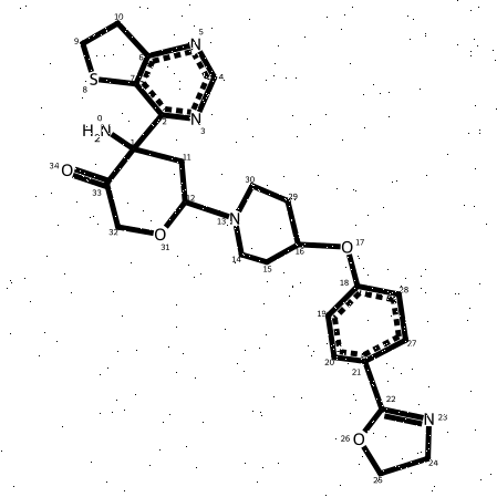 NC1(c2ncnc3c2SCC3)CC(N2CCC(Oc3ccc(C4=NCCO4)cc3)CC2)OCC1=O